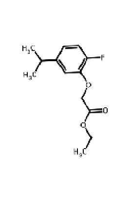 CCOC(=O)COc1cc(C(C)C)ccc1F